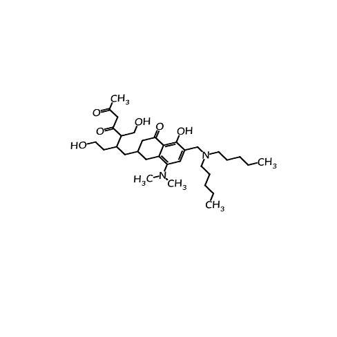 CCCCCN(CCCCC)Cc1cc(N(C)C)c2c(c1O)C(=O)CC(CC(CCO)C(CO)C(=O)CC(C)=O)C2